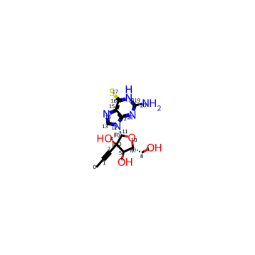 CC#C[C@@]1(O)C(O)[C@@H](CO)O[C@H]1n1cnc2c(=S)[nH]c(N)nc21